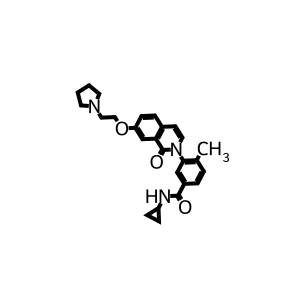 Cc1ccc(C(=O)NC2CC2)cc1-n1ccc2ccc(OCCN3CCCC3)cc2c1=O